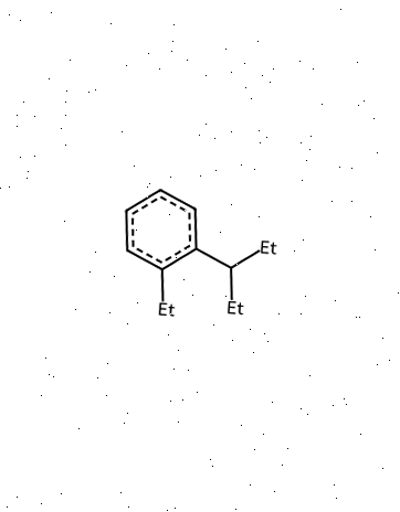 CCc1ccccc1C(CC)CC